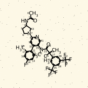 CC(=O)NC1CCN(c2cc(-c3ccc(F)cc3C)c(N(C)C(=O)C(C)(C)c3cc(C(F)(F)F)cc(C(F)(F)F)c3)cn2)C1